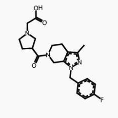 Cc1nn(Cc2ccc(F)cc2)c2c1CCN(C(=O)C1CCN(CC(=O)O)C1)C2